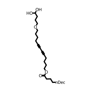 CCCCCCCCCCCCCC(=O)OCCCCC#CC#CCCCCOCCCC(O)O